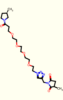 CC1CC(=O)N(Cc2cn(CCOCCOCCOCCOCCC(=O)N3CC[C@@H](C)C3)nn2)C1=O